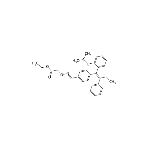 CCOC(=O)CON=Cc1ccc(C(=C(CC)c2ccccc2)c2ccccc2ON(C)C)cc1